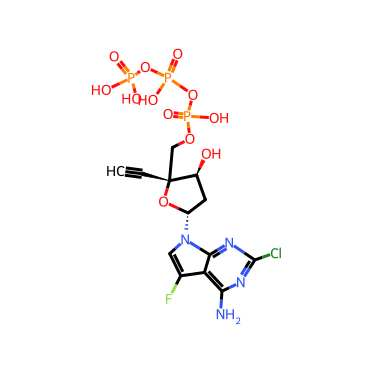 C#C[C@]1(COP(=O)(O)OP(=O)(O)OP(=O)(O)O)O[C@@H](n2cc(F)c3c(N)nc(Cl)nc32)C[C@@H]1O